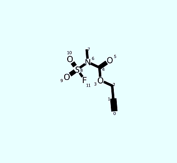 C#CCOC(=O)N(C)S(=O)(=O)F